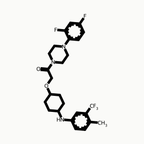 Cc1ccc(NC2CCC(OCC(=O)N3CCN(c4ccc(F)cc4F)CC3)CC2)cc1C(F)(F)F